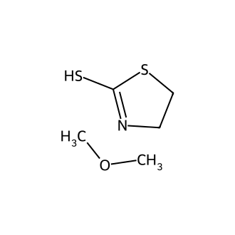 COC.SC1=NCCS1